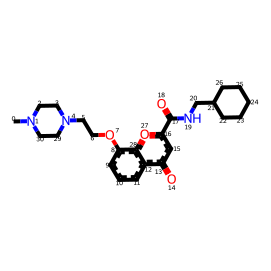 CN1CCN(CCOc2cccc3c(=O)cc(C(=O)NCC4CCCCC4)oc23)CC1